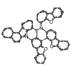 c1ccc2c(c1)ccc1c2c2cccc3c2n1-c1cc2c(oc4ccccc42)c2c1B3N(c1cccc3c1oc1ccccc13)c1ccc3c(oc4ccccc43)c1-2